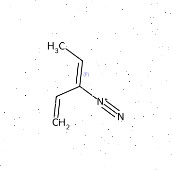 C=C/C(=C\C)[N+]#N